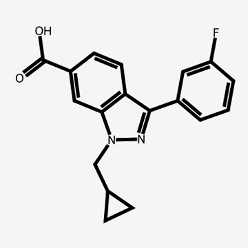 O=C(O)c1ccc2c(-c3cccc(F)c3)nn(CC3CC3)c2c1